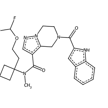 CN(C(=O)c1cnn2c1CN(C(=O)c1cc3ccccc3[nH]1)CC2)C1(CCOC(F)F)CCC1